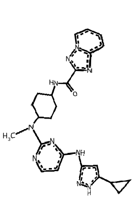 CN(c1nccc(Nc2cc(C3CC3)[nH]n2)n1)C1CCC(NC(=O)c2nc3ccccn3n2)CC1